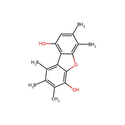 Bc1cc(O)c2c(oc3c(O)c(C)c(B)c(B)c32)c1B